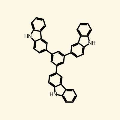 c1ccc2c(c1)[nH]c1ccc(-c3cc(-c4ccc5[nH]c6ccccc6c5c4)cc(-c4ccc5[nH]c6ccccc6c5c4)c3)cc12